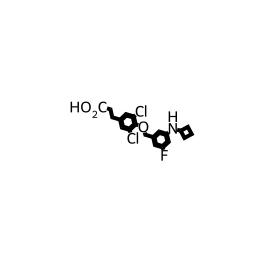 O=C(O)CCc1cc(Cl)c(OCc2cc(F)cc(NC3CCC3)c2)c(Cl)c1